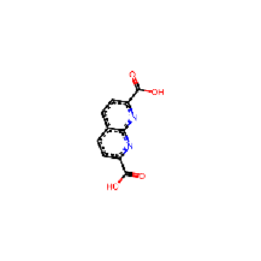 O=C(O)c1ccc2ccc(C(=O)O)nc2n1